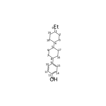 CCC1CCC(C2CCC(c3ccc(O)cc3)CC2)CC1